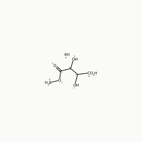 BOC(=O)C(O)C(O)C(=O)O.[KH]